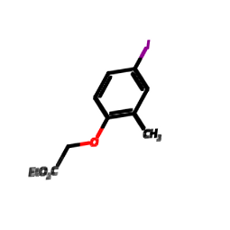 CCOC(=O)COc1ccc(I)cc1C